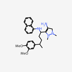 COc1ccc(C(C)CCC(Nc2cccc3ccccc23)C2=C(N)CN(C)N2C)cc1OC